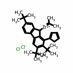 C[C](C)=[Zr+2][CH]1c2cc(C(C)(C)C)ccc2-c2cc(C(C)(C)C)c(C(C)(C)C)c(C3=CC=CC3)c21.[Cl-].[Cl-]